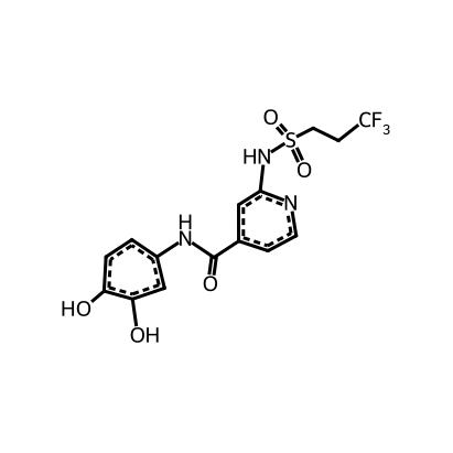 O=C(Nc1ccc(O)c(O)c1)c1ccnc(NS(=O)(=O)CCC(F)(F)F)c1